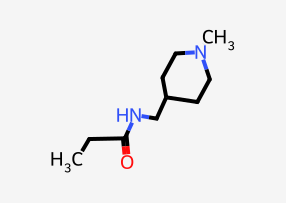 CCC(=O)NCC1CCN(C)CC1